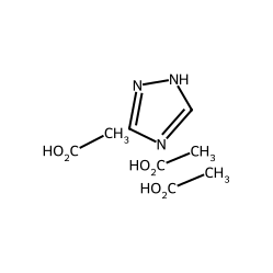 CC(=O)O.CC(=O)O.CC(=O)O.c1nc[nH]n1